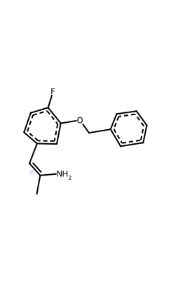 C/C(N)=C/c1ccc(F)c(OCc2ccccc2)c1